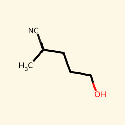 CC(C#N)CCCO